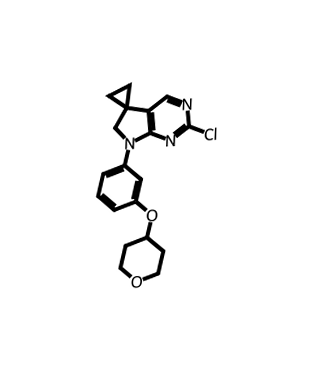 Clc1ncc2c(n1)N(c1cccc(OC3CCOCC3)c1)CC21CC1